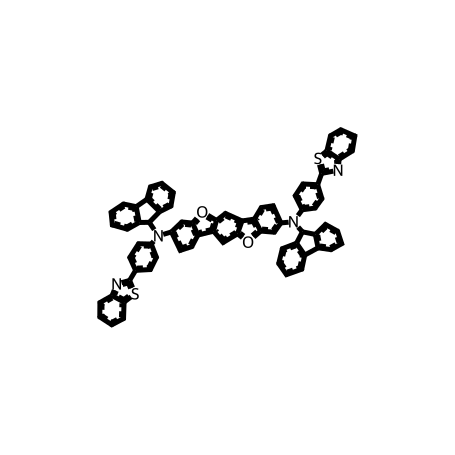 c1ccc2c(c1)-c1ccccc1C2N(c1ccc(-c2nc3ccccc3s2)cc1)c1ccc2c(c1)oc1cc3c(cc12)oc1cc(N(c2ccc(-c4nc5ccccc5s4)cc2)C2c4ccccc4-c4ccccc42)ccc13